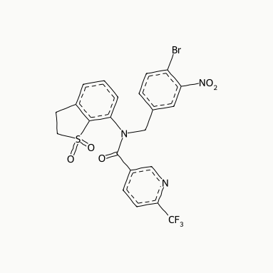 O=C(c1ccc(C(F)(F)F)nc1)N(Cc1ccc(Br)c([N+](=O)[O-])c1)c1cccc2c1S(=O)(=O)CC2